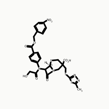 Cc1nnc(SCC2(C(=O)O)CS[C@@H]3C(N(C(=O)CO)c4ccc(C(=O)OCc5ccc([N+](=O)[O-])cc5)cc4)C(=O)N3C2)s1